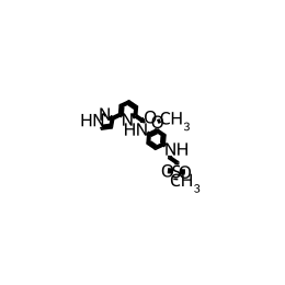 COc1cc(NCCS(C)(=O)=O)ccc1NC(=O)c1cccc(-c2cc[nH]n2)n1